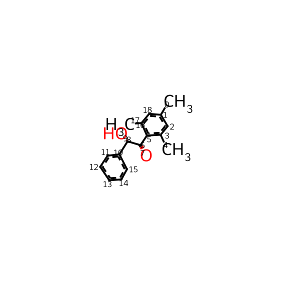 Cc1cc(C)c(C(=O)C(O)c2ccccc2)c(C)c1